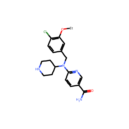 CCOc1cc(CN(c2ccc(C(N)=O)cn2)C2CCNCC2)ccc1Cl